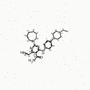 CCN1CCN(c2ccc(Nc3nc(N4CCCCCC4)nc(C=N)c3C(N)=O)cc2)CC1